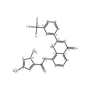 Cc1cc(C(=O)Nc2cccc3c(=O)cc(-c4cccc(C(F)(F)F)c4)[nH]c23)n(C)n1